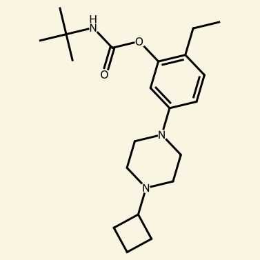 CCc1ccc(N2CCN(C3CCC3)CC2)cc1OC(=O)NC(C)(C)C